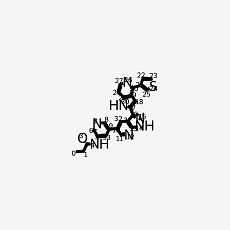 CCC(=O)Nc1cncc(-c2cnc3[nH]nc(-c4cc5c(-c6ccsc6)nccc5[nH]4)c3c2)c1